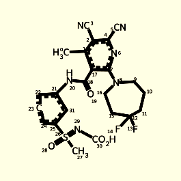 Cc1c(C#N)c(C#N)nc(N2CCCC(F)(F)CC2)c1C(=O)Nc1cccc(S(C)(=O)=NC(=O)O)c1